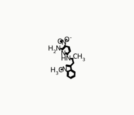 CC(Cc1cn(C)c2ccccc12)Nc1ccc([N+](=O)[O-])c(N)n1